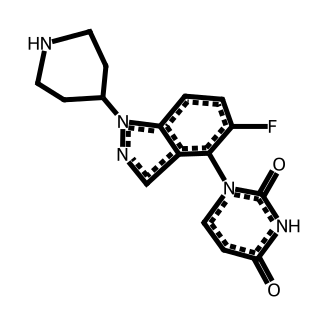 O=c1ccn(-c2c(F)ccc3c2cnn3C2CCNCC2)c(=O)[nH]1